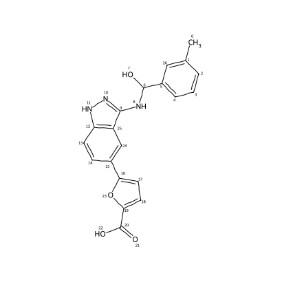 Cc1cccc(C(O)Nc2n[nH]c3ccc(-c4ccc(C(=O)O)o4)cc23)c1